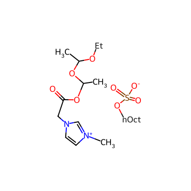 CCCCCCCCOS(=O)(=O)[O-].CCOC(C)OC(C)OC(=O)Cn1cc[n+](C)c1